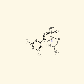 CC(N/C(Nc1cc(C(F)(F)F)cc(C(F)(F)F)c1)=C(\C#N)S(=O)(=O)C(C)C)C(C)(C)C